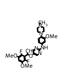 COc1cc(Nc2ncc(OC(C)c3c(F)c(OC)cc(OC)c3F)cn2)ccc1N1CCN(C)CC1